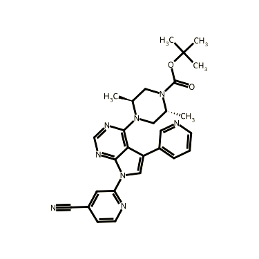 C[C@@H]1CN(c2ncnc3c2c(-c2cccnc2)cn3-c2cc(C#N)ccn2)[C@@H](C)CN1C(=O)OC(C)(C)C